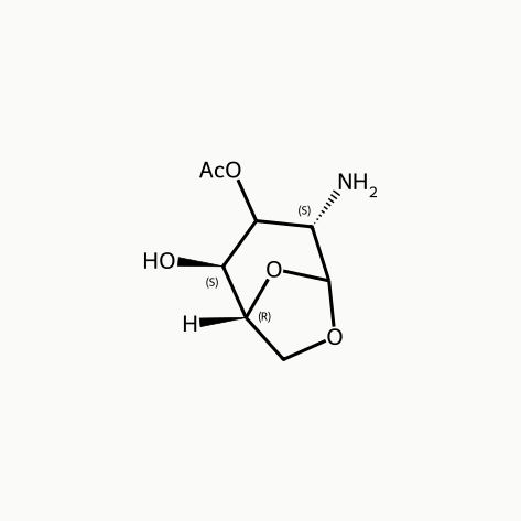 CC(=O)OC1[C@H](N)C2OC[C@@H](O2)[C@H]1O